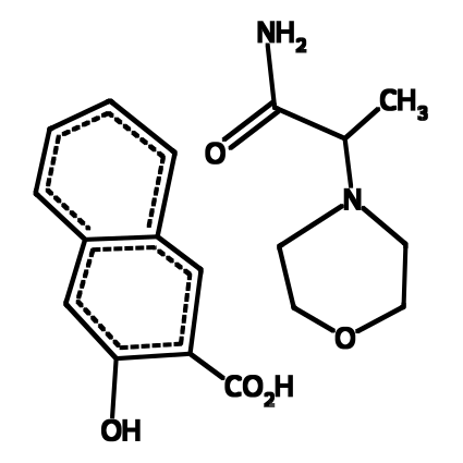 CC(C(N)=O)N1CCOCC1.O=C(O)c1cc2ccccc2cc1O